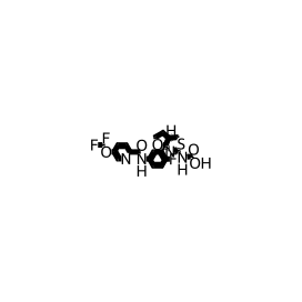 O=C(O)NC1=N[C@]2(c3cc(NC(=O)c4ccc(OC(F)F)cn4)ccc3F)OCC[C@@H]2CS1